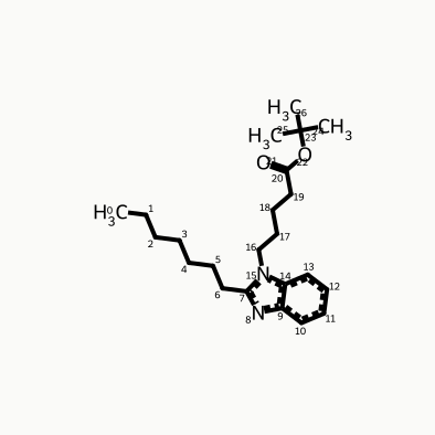 CCCCCCCc1nc2ccccc2n1CCCCC(=O)OC(C)(C)C